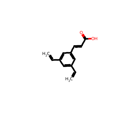 C=Cc1cc(C=C)cc(C=CC(=O)O)c1